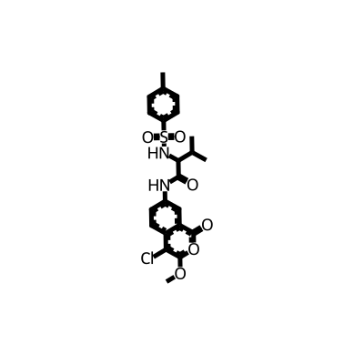 COc1oc(=O)c2cc(NC(=O)C(NS(=O)(=O)c3ccc(C)cc3)C(C)C)ccc2c1Cl